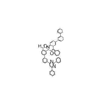 CN1C(c2cccc(-c3cccc(-c4cc(-c5ccccc5)nc(-c5ccccc5)n4)c3)c2)c2oc3ccccc3c2C2C=C(C3=CCCC(c4ccccc4)=C3)C=CC21